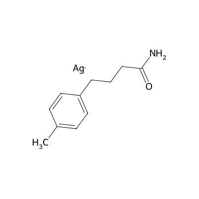 Cc1ccc(CCCC(N)=O)cc1.[Ag]